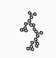 c1ccc(-n2c3ccccc3c3cc(-c4ccc5c(c4)c4c6cccc(-c7ccc8cc9c%10cc(-c%11ccc%12c(c%11)c%11ccc%13ccccc%13c%11n%12-c%11cccc(-c%12cc%13c%14c(cccc%14c%12)-c%12ccccc%12-%13)c%11)ccc%10n(-c%10ccccc%10)c9cc8c7)c6ccc4n5-c4cccc(-c5cc6c7c(cccc7c5)-c5ccccc5-6)c4)ccc32)cc1